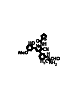 COc1ccc(O)c(-c2cc(-c3cccc(N[C@](C)(N)C=O)c3)c(C#N)c(NC(=O)c3cccs3)n2)c1